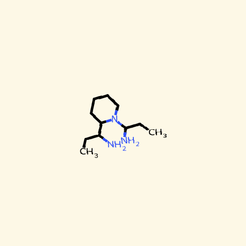 CCC(N)C1CCCCN1C(N)CC